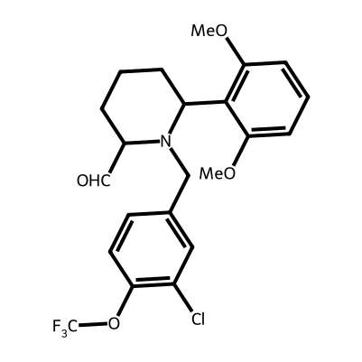 COc1cccc(OC)c1C1CCCC(C=O)N1Cc1ccc(OC(F)(F)F)c(Cl)c1